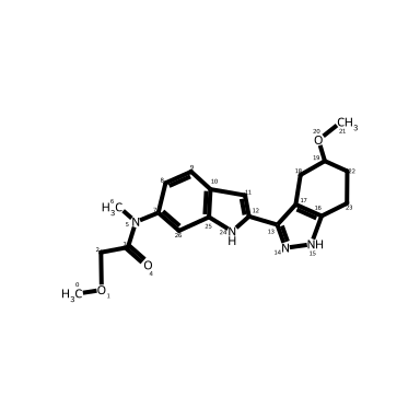 COCC(=O)N(C)c1ccc2cc(-c3n[nH]c4c3CC(OC)CC4)[nH]c2c1